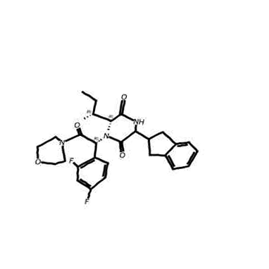 CC[C@@H](C)[C@@H]1C(=O)NC(C2Cc3ccccc3C2)C(=O)N1[C@@H](C(=O)N1CCOCC1)c1ccc(F)cc1F